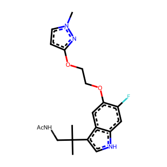 CC(=O)NCC(C)(C)c1c[nH]c2cc(F)c(OCCOc3ccn(C)n3)cc12